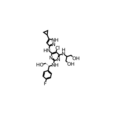 OCC(CO)Nc1nc(N[C@@H](CO)c2ccc(F)cc2)nc(Nc2cc(C3CC3)[nH]n2)c1Cl